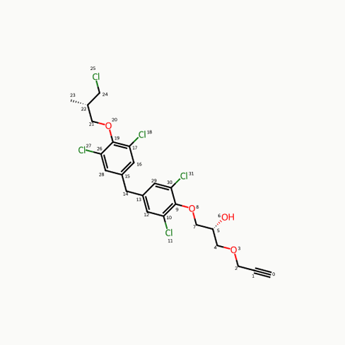 C#CCOC[C@@H](O)COc1c(Cl)cc(Cc2cc(Cl)c(OC[C@H](C)CCl)c(Cl)c2)cc1Cl